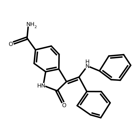 NC(=O)c1ccc2c(c1)NC(=O)C2=C(Nc1ccccc1)c1ccccc1